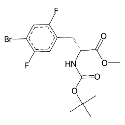 COC(=O)[C@@H](Cc1cc(F)c(Br)cc1F)NC(=O)OC(C)(C)C